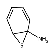 NC12C=CC=CC1S2